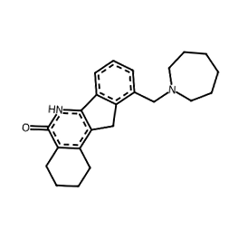 O=c1[nH]c2c(c3c1CCCC3)Cc1c(CN3CCCCCC3)cccc1-2